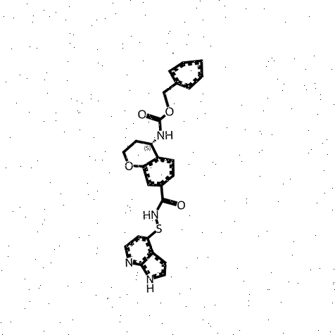 O=C(N[C@H]1CCOc2cc(C(=O)NSc3ccnc4[nH]ccc34)ccc21)OCc1ccccc1